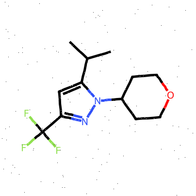 CC(C)c1cc(C(F)(F)F)nn1C1CCOCC1